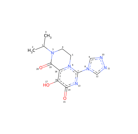 CC(C)N1CCn2c(-n3cnnc3)nc(=O)c(O)c2C1=O